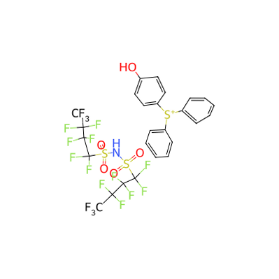 O=S(=O)(NS(=O)(=O)C(F)(F)C(F)(F)C(F)(F)C(F)(F)F)C(F)(F)C(F)(F)C(F)(F)C(F)(F)F.Oc1ccc([S+](c2ccccc2)c2ccccc2)cc1